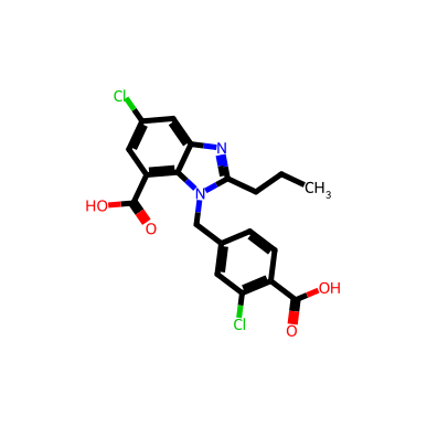 CCCc1nc2cc(Cl)cc(C(=O)O)c2n1Cc1ccc(C(=O)O)c(Cl)c1